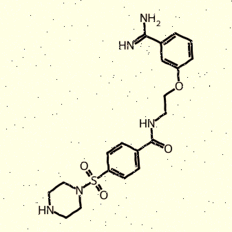 N=C(N)c1cccc(OCCNC(=O)c2ccc(S(=O)(=O)N3CCNCC3)cc2)c1